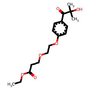 CCOC(=O)CCOCCOc1ccc(C(=O)C(C)(C)O)cc1